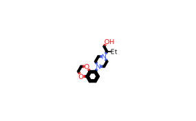 CC[C@H](CO)N1CCN(c2cccc3c2OCCO3)CC1